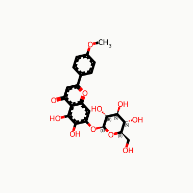 COc1ccc(-c2cc(=O)c3c(O)c(O)c(O[C@@H]4O[C@H](CO)[C@@H](O)[C@H](O)[C@H]4O)cc3o2)cc1